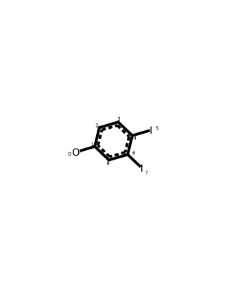 [O]c1ccc(I)c(I)c1